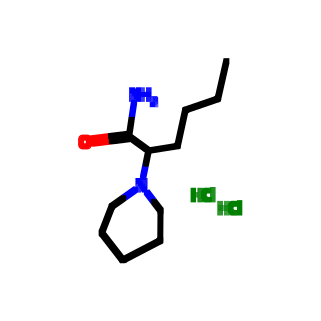 CCCCC(C(N)=O)N1CCCCC1.Cl.Cl